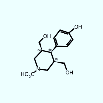 O=C(O)N1C[C@@H](CO)[C@@H](c2ccc(O)cc2)[C@@H](CO)C1